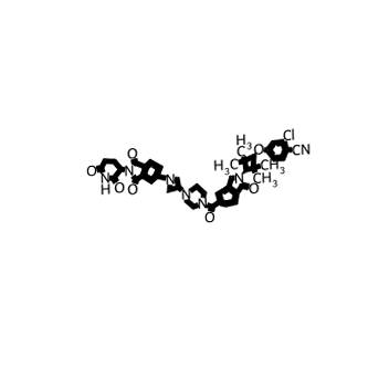 CC1(C)[C@H](Oc2ccc(C#N)c(Cl)c2)C(C)(C)[C@H]1N1Cc2cc(C(=O)N3CCN(C4CN(c5ccc6c(c5)C(=O)N(C5CCC(=O)NC5=O)C6=O)C4)CC3)ccc2C1=O